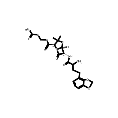 CCCC(=O)OCOC(=O)[C@@H]1N2C(=O)[C@@H](NC(=O)C(N)CCc3cccc4c3OCO4)[C@H]2SC1(C)C